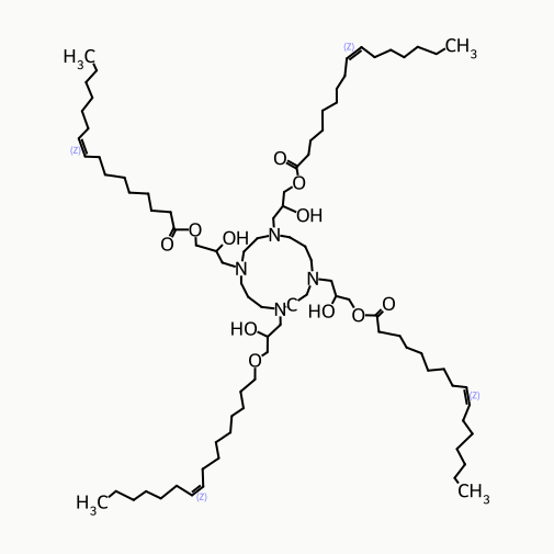 CCCCCC/C=C\CCCCCCCCOCC(O)CN1CCCN(CC(O)COC(=O)CCCCCCC/C=C\CCCCCC)CCN(CC(O)COC(=O)CCCCCCC/C=C\CCCCCC)CCCN(CC(O)COC(=O)CCCCCCC/C=C\CCCCCC)CC1